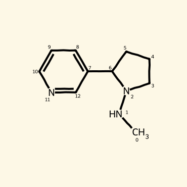 CNN1CCCC1c1cccnc1